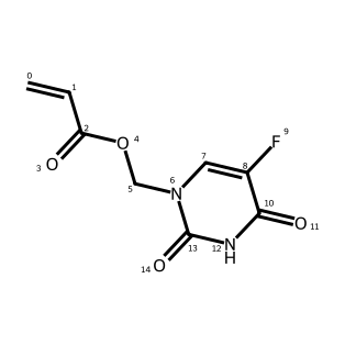 C=CC(=O)OCn1cc(F)c(=O)[nH]c1=O